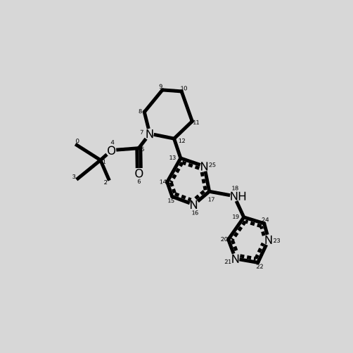 CC(C)(C)OC(=O)N1CCCCC1c1ccnc(Nc2cncnc2)n1